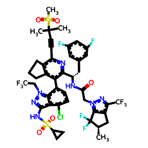 C[C@@H]1Cc2c(C(F)(F)F)nn(CC(=O)N[C@@H](Cc3cc(F)cc(F)c3)c3nc(C#CC(C)(C)S(C)(=O)=O)c4c(c3-c3ccc(Cl)c5c(NS(=O)(=O)C6CC6)nn(CC(F)(F)F)c35)CCC4)c2C1(F)F